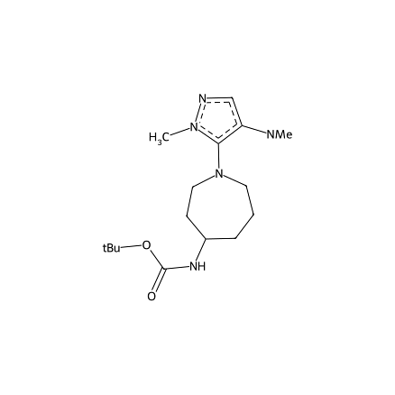 CNc1cnn(C)c1N1CCCC(NC(=O)OC(C)(C)C)CC1